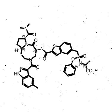 Cc1ccc2[nH]nc(C(=O)N3CC[C@H]4CC[C@@H](C(=O)N(C)C)N4C(=O)[C@@H](NC(=O)c4cc5cc(CP(=O)(Oc6ccccc6)N(C(C)C)[C@@H](C)C(=O)O)ccc5s4)C3)c2c1